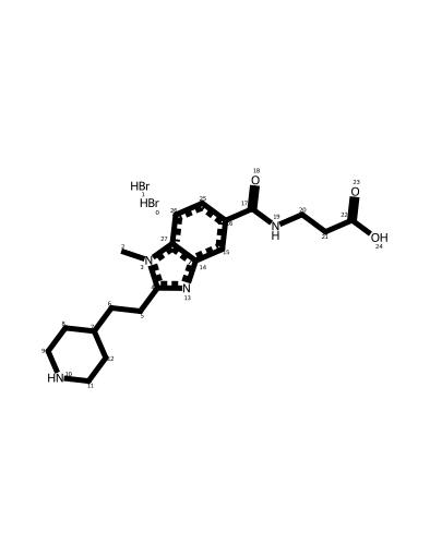 Br.Br.Cn1c(CCC2CCNCC2)nc2cc(C(=O)NCCC(=O)O)ccc21